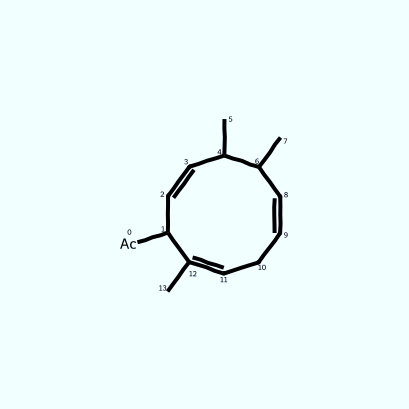 CC(=O)C1C=CC(C)C(C)C=CCC=C1C